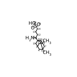 CC12CC3CC(C)(C1)CC(C(N)CCCS(=O)(=O)O)(C3)C2